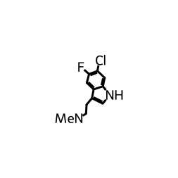 CNCCc1c[nH]c2cc(Cl)c(F)cc12